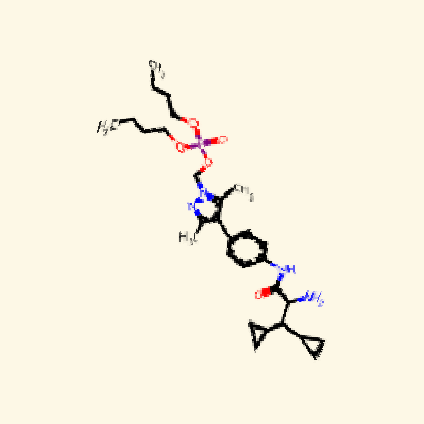 CCCCOP(=O)(OCCCC)OCn1nc(C)c(-c2ccc(NC(=O)C(N)C(C3CC3)C3CC3)cc2)c1C